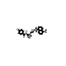 CN(C)c1cccc2c(S(=O)(=O)NCCn3nnnc3NC(=O)c3ccc(Cl)cc3)cccc12